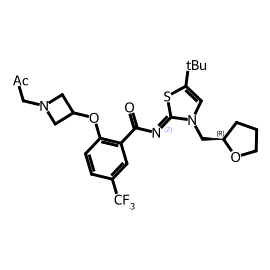 CC(=O)CN1CC(Oc2ccc(C(F)(F)F)cc2C(=O)/N=c2\sc(C(C)(C)C)cn2C[C@H]2CCCO2)C1